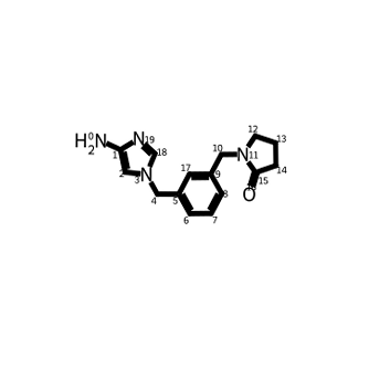 Nc1cn(Cc2cccc(CN3CCCC3=O)c2)cn1